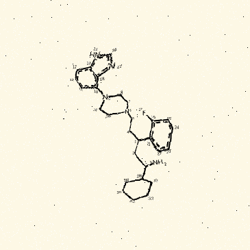 NC(CC(CCN1CCN(c2cccc3[nH]cnc23)CC1)c1ccccc1F)C1CCCCC1